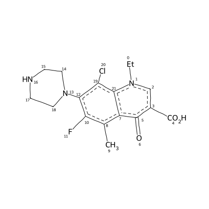 CCn1cc(C(=O)O)c(=O)c2c(C)c(F)c(N3CCNCC3)c(Cl)c21